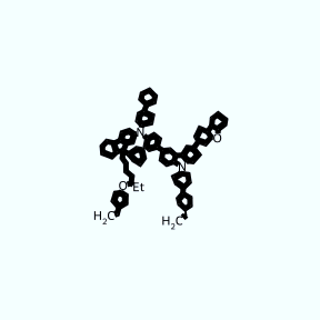 C=Cc1ccc(OC(CC)CCCCC2(c3ccccc3)C3=C(CCC=C3)c3ccc(N(c4ccc(C5=CC6c7cc(C8=CC9OC%10=CC=CCC%10C9C=C8)ccc7N(C7=CC=C(C8=CC[C@H](C=C)CC8)CC7)C6C=C5)cc4)c4ccc(C5=CCCCC5)cc4)cc32)cc1